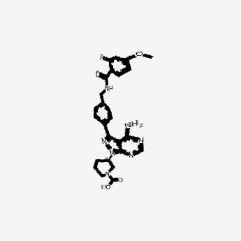 COc1ccc(C(=O)NCc2ccc(-c3nn([C@@H]4CCCN(C(=O)O)C4)c4ncnc(N)c34)cc2)c(F)c1